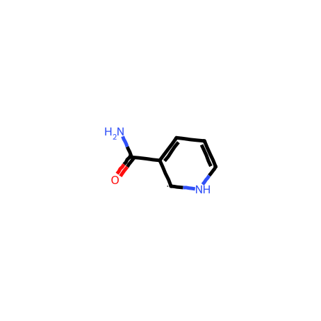 NC(=O)C1=CC=CN[CH]1